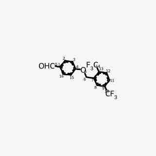 O=Cc1ccc(OCc2cc(C(F)(F)F)ccc2C(F)(F)F)cc1